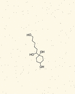 OCCCCCC(O)C1(O)CCC(O)CC1